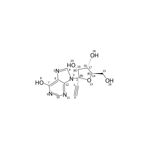 C#C[C@@]1(n2cnc3c(O)ncnc32)O[C@H](CO)[C@@H](O)[C@H]1O